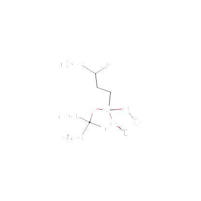 CCCCCCCCCCC(F)CC[Si](OCC)(OCC)OC(CCCCCCCC)(CCCCCCCC)CCCCCCCCC